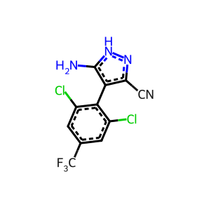 N#Cc1n[nH]c(N)c1-c1c(Cl)cc(C(F)(F)F)cc1Cl